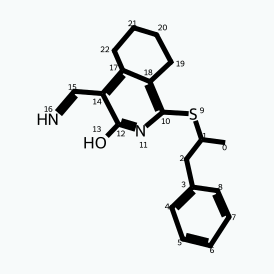 CC(Cc1ccccc1)Sc1nc(O)c(C=N)c2c1CCCC2